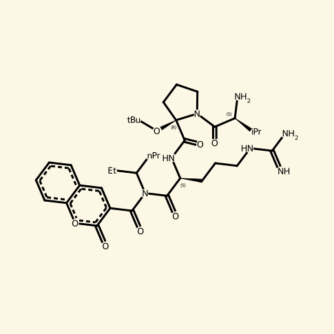 CCCC(CC)N(C(=O)c1cc2ccccc2oc1=O)C(=O)[C@H](CCCNC(=N)N)NC(=O)[C@]1(OC(C)(C)C)CCCN1C(=O)[C@@H](N)C(C)C